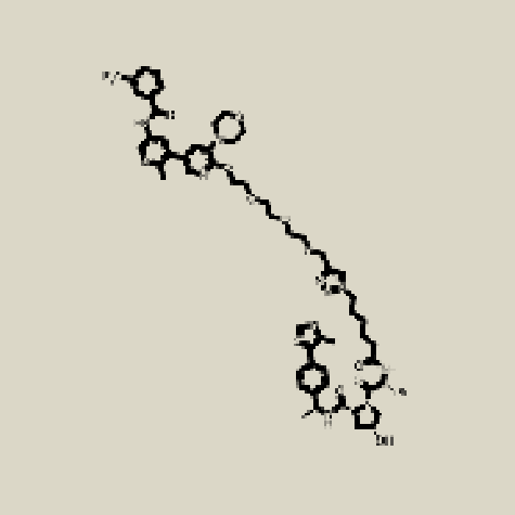 Cc1ncc(NC(=O)c2cccc(C(F)(F)F)c2)cc1-c1cnc(OCCOCCOCCOCc2cn(CCCCCC(=O)N[C@@H](C(=O)N3C[C@H](O)C[C@H]3C(=O)N[C@@H](C)c3ccc(-c4scnc4C)cc3)C(C)(C)C)nn2)c(N2CCOCC2)c1